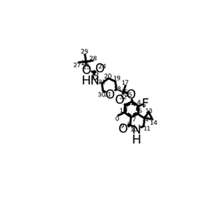 Cc1c2c(c(F)c3c1C(=O)NCC31CC1)OC(C)([C@@H]1CC[C@@H](NC(=O)OC(C)(C)C)CO1)O2